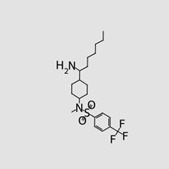 CCCCCCC(N)C1CCC(N(C)S(=O)(=O)c2ccc(C(F)(F)F)cc2)CC1